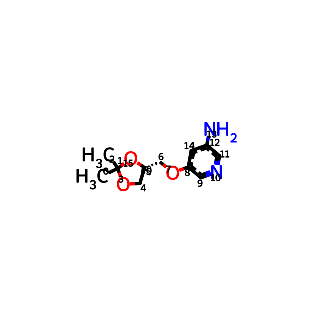 CC1(C)OC[C@@H](COc2cncc(N)c2)O1